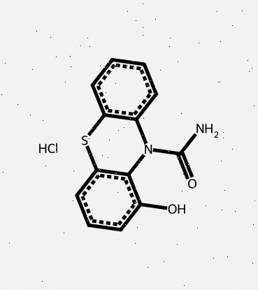 Cl.NC(=O)N1c2ccccc2Sc2cccc(O)c21